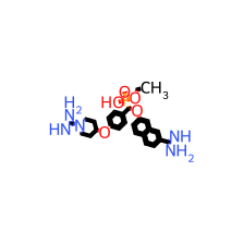 CCOP(=O)(O)C(Oc1ccc2ccc(C(=N)N)cc2c1)c1ccc(OC2CCN(C(=N)N)CC2)cc1